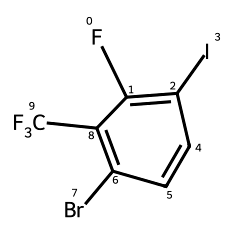 Fc1c(I)ccc(Br)c1C(F)(F)F